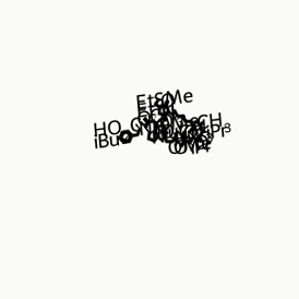 CCC(C)c1ccc(C[C@H](NC(=O)[C@H](C)[C@@H](OC)[C@@H]2CCCN2C(=O)C[C@@H](OC)[C@H]([C@@H](C)CC)N(C)C(=O)[C@@H](NC(=O)[C@H](C(C)C)N(C)C(=O)CCCCCN2C(=O)CC(C(CC)(CC)SC)C2=O)C(C)C)C(=O)O)cc1